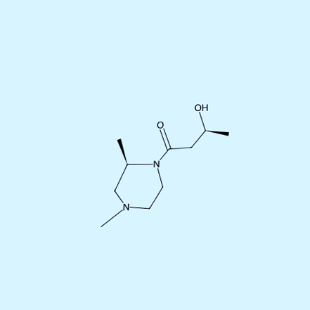 C[C@H](O)CC(=O)N1CCN(C)C[C@H]1C